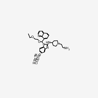 CCOCCOC(c1cccc2cccnc12)n1c(NC2CCN(CCN)CC2)nc2ccccc21.Cl.Cl.Cl.O.O